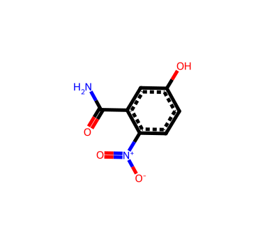 NC(=O)c1cc(O)ccc1[N+](=O)[O-]